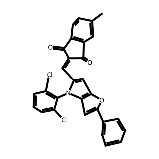 Cc1ccc2c(c1)C(=O)/C(=C\c1cc3oc(-c4ccccc4)cc3n1-c1c(Cl)cccc1Cl)C2=O